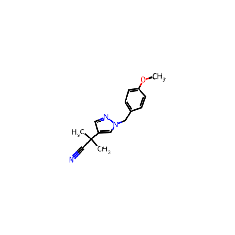 COc1ccc(Cn2cc(C(C)(C)C#N)cn2)cc1